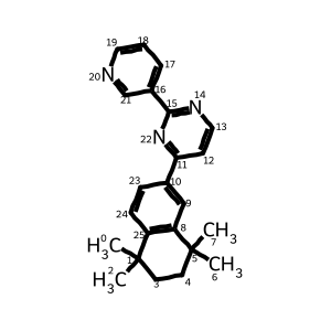 CC1(C)CCC(C)(C)c2cc(-c3ccnc(-c4cccnc4)n3)ccc21